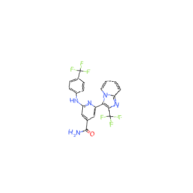 NC(=O)c1cc(Nc2ccc(C(F)(F)F)cc2)nc(-c2c(C(F)(F)F)nc3ccccn23)c1